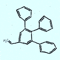 C=Cc1cc(-c2ccccc2)c(-c2ccccc2)c(-c2ccccc2)c1